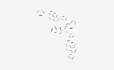 c1ccc(-c2ccc3ccc4c(-c5cccc(-c6c7ccccc7c(-c7cccc(-c8ccc9ccc%10c(-c%11ccccc%11)ccc%11ccc8c9c%11%10)c7)c7c6oc6cc8ccccc8cc67)c5)ccc5ccc2c3c54)cc1